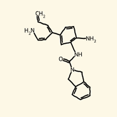 C=C/C=C(\C=C/N)c1ccc(N)c(NC(=O)N2Cc3ccccc3C2)c1